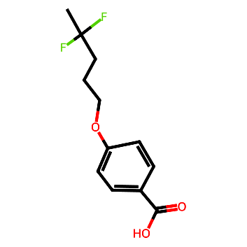 CC(F)(F)CCCOc1ccc(C(=O)O)cc1